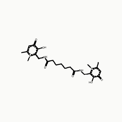 Cc1cc(=O)c(O)c(CNC(=O)CCCCCC(=O)NCc2c(O)c(=O)cc(C)n2C)n1C